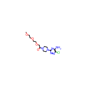 COCCOCCOCC(=O)N1CCN(c2nnc(Cl)c(N)n2)CC1